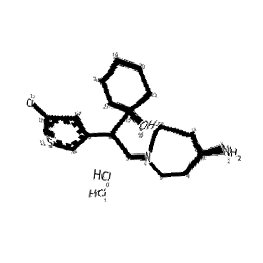 Cl.Cl.NC1CCN(CC(c2csc(Cl)c2)C2(O)CCCCC2)CC1